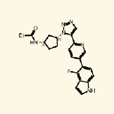 CCC(=O)N[C@H]1CC[C@@H](n2nncc2-c2ccc(-c3ccc4[nH]ccc4c3F)cn2)C1